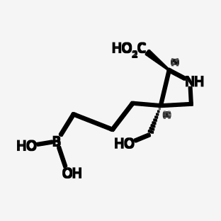 O=C(O)[C@H]1NC[C@@]1(CO)CCCB(O)O